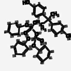 CC(C)(c1ccc(O)cc1)c1ccc(O)cc1.O=P(O)(Oc1ccccc1)OP(=O)(Oc1ccccc1)Oc1ccccc1